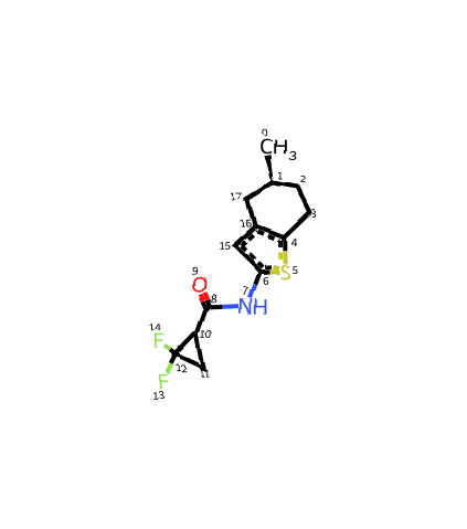 C[C@H]1CCc2sc(NC(=O)C3CC3(F)F)cc2C1